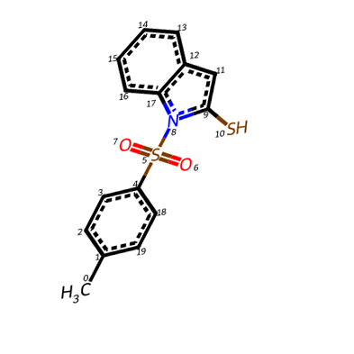 Cc1ccc(S(=O)(=O)n2c(S)cc3ccccc32)cc1